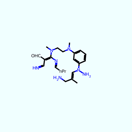 CCC/C=N/C(=C(\C=N)C=O)N(C)CCN(C)c1cccc(N(N)/C=C(\C)CN)c1